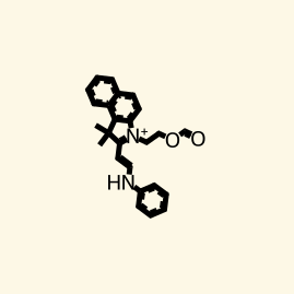 CC1(C)C(/C=C/Nc2ccccc2)=[N+](CCOC=O)c2ccc3ccccc3c21